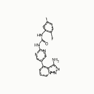 Cc1ccc(F)c(NC(=O)Nc2ncc(-c3cccn4nnc(N)c34)cn2)c1